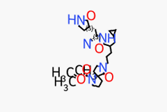 CC(C)(C)OC(=O)N1CCCC12CCN(CCCC(CC1CC1)C(=O)N[C@H](C#N)C[C@@H]1CCNC1=O)C2=O